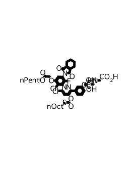 CCCCCCCCSC(=O)Oc1cc(Cl)nnc1-c1ccccc1.CCCCCOC(=O)COc1cc(N2C(=O)C3=C(CCCC3)C2=O)c(F)cc1Cl.O=C(O)CNCP(=O)(O)O